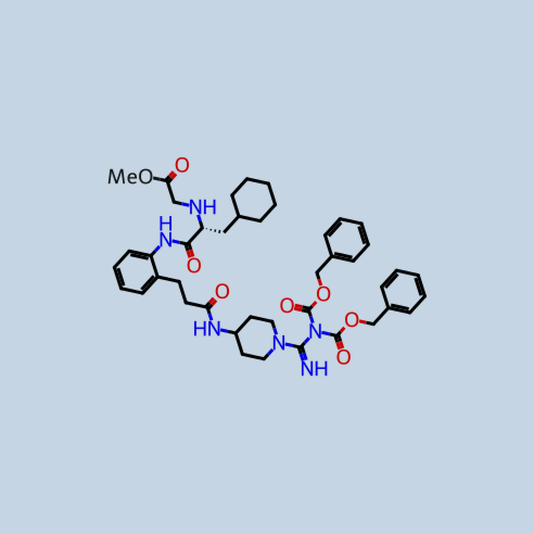 COC(=O)CN[C@H](CC1CCCCC1)C(=O)Nc1ccccc1CCC(=O)NC1CCN(C(=N)N(C(=O)OCc2ccccc2)C(=O)OCc2ccccc2)CC1